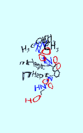 CCCCCCC/C(=N\OC(=O)N=C(N(C)C)N(C)C)c1cc2c(/C(CCCCCCC)=N/OC(=O)NCCCO)cccc2oc1=O